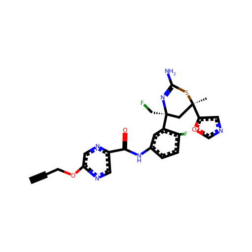 C#CCOc1cnc(C(=O)Nc2ccc(F)c([C@]3(CF)C[C@](C)(c4cnco4)SC(N)=N3)c2)cn1